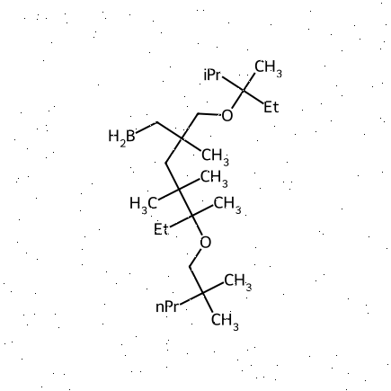 BCC(C)(COC(C)(CC)C(C)C)CC(C)(C)C(C)(CC)OCC(C)(C)CCC